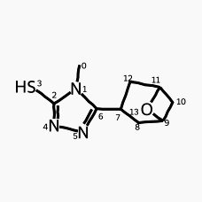 Cn1c(S)nnc1C1CC2CC(C1)O2